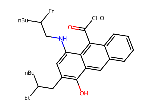 CCCCC(CC)CNc1cc(CC(CC)CCCC)c(O)c2cc3ccccc3c(C(=O)C=O)c12